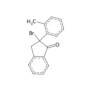 Cc1ccccc1C1(Br)Cc2ccccc2C1=O